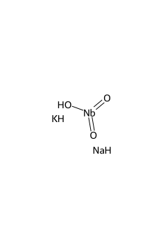 [KH].[NaH].[O]=[Nb](=[O])[OH]